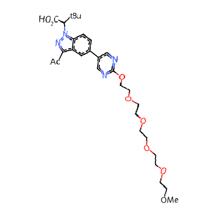 COCCOCCOCCOCCOCCOc1ncc(-c2ccc3c(c2)c(C(C)=O)nn3C(C(=O)O)C(C)(C)C)cn1